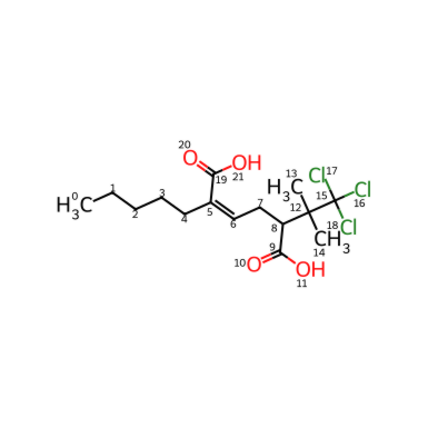 CCCCCC(=CCC(C(=O)O)C(C)(C)C(Cl)(Cl)Cl)C(=O)O